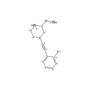 CC(C)(C)OC1[CH]C(C#Cc2ccccc2F)CCN1